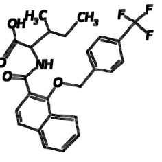 CCC(C)C(NC(=O)c1ccc2ccccc2c1OCc1ccc(C(F)(F)F)cc1)C(=O)O